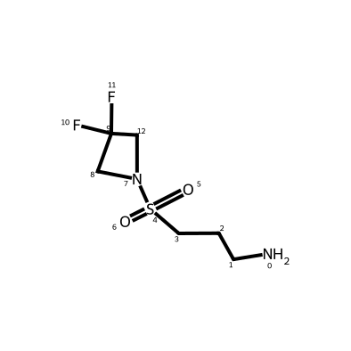 NCCCS(=O)(=O)N1CC(F)(F)C1